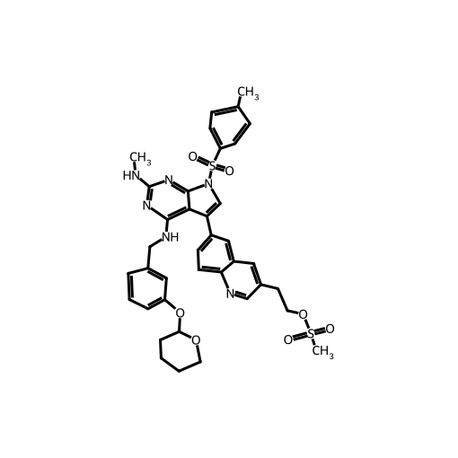 CNc1nc(NCc2cccc(OC3CCCCO3)c2)c2c(-c3ccc4ncc(CCOS(C)(=O)=O)cc4c3)cn(S(=O)(=O)c3ccc(C)cc3)c2n1